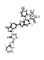 Cc1cc2nc(-c3ccc4c(c3)c(N3CCN(CCN5CCOCC5)C3=O)nn4C)sc2c(-c2ccc(Cl)cc2)c1C(OC(C)(C)C)C(=O)O